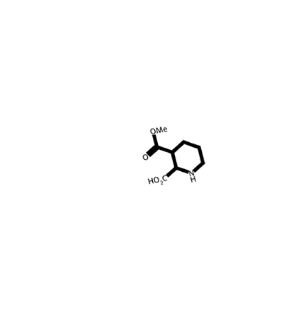 COC(=O)C1CCCNC1C(=O)O